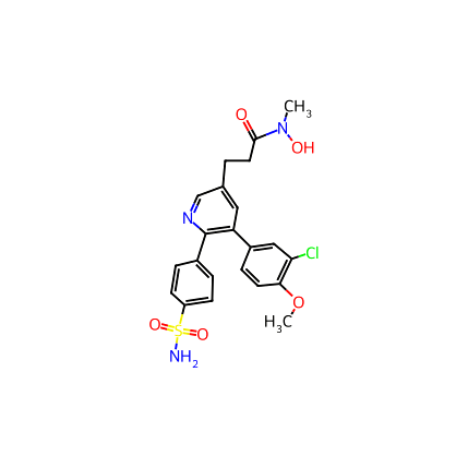 COc1ccc(-c2cc(CCC(=O)N(C)O)cnc2-c2ccc(S(N)(=O)=O)cc2)cc1Cl